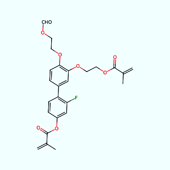 C=C(C)C(=O)OCCOc1cc(-c2ccc(OC(=O)C(=C)C)cc2F)ccc1OCCOC=O